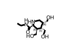 CCNC(=O)[C@H]1NC[C@H](CO)[C@H](CO)[C@H]1CO